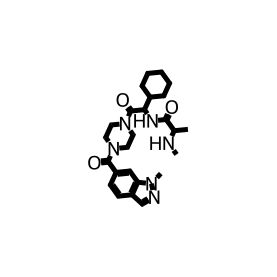 CNC(C)C(=O)NC(C(=O)N1CCN(C(=O)c2ccc3cnn(C)c3c2)CC1)C1CCCCC1